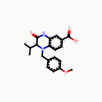 COc1ccc(CN2c3ccc(C(=O)O)cc3NC(=O)C2C(C)C)cc1